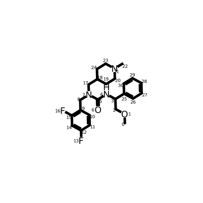 COCC(NC(=O)N(Cc1ccc(F)cc1F)CC1CCN(C)CC1)c1ccccc1